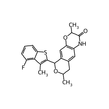 Cc1c(C2OC(C)Cc3cc4c(cc32)OC(C)C(=O)N4)sc2cccc(F)c12